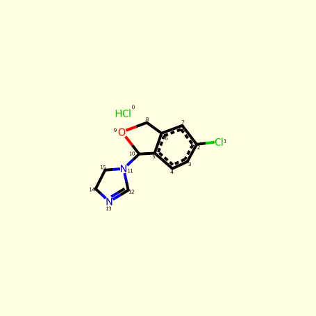 Cl.Clc1ccc2c(c1)COC2N1C=NCC1